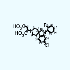 O=C(O)/C=C(\C(=O)O)N1CCC2(CC1)CN(c1ccccc1F)c1cc(Cl)ccc12